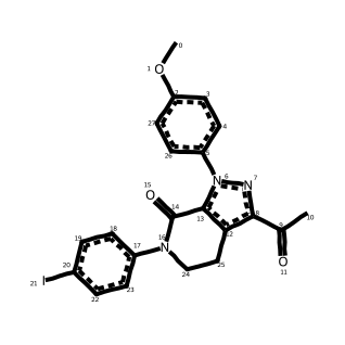 COc1ccc(-n2nc(C(C)=O)c3c2C(=O)N(c2ccc(I)cc2)CC3)cc1